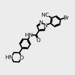 N#Cc1cc(Br)ccc1-n1cc(C(=O)Nc2ccc(C3CNCCO3)cc2)cn1